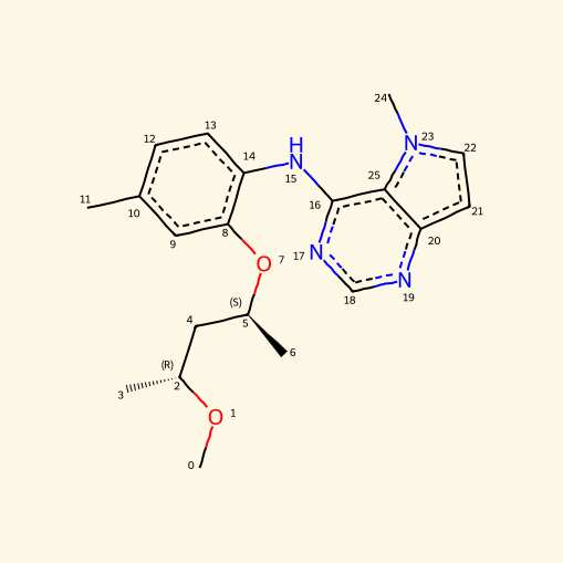 CO[C@H](C)C[C@H](C)Oc1cc(C)ccc1Nc1ncnc2ccn(C)c12